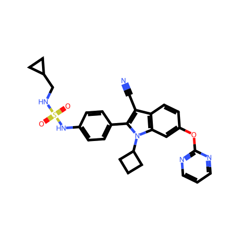 N#Cc1c(-c2ccc(NS(=O)(=O)NCC3CC3)cc2)n(C2CCC2)c2cc(Oc3ncccn3)ccc12